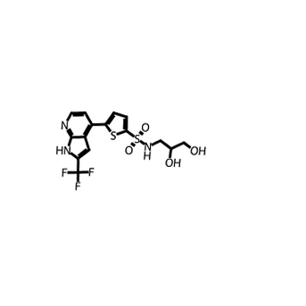 O=S(=O)(NCC(O)CO)c1ccc(-c2ccnc3[nH]c(C(F)(F)F)cc23)s1